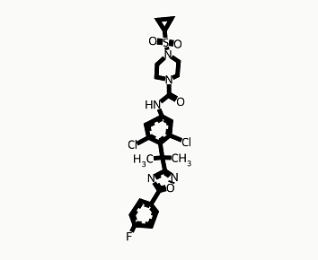 CC(C)(c1noc(-c2ccc(F)cc2)n1)c1c(Cl)cc(NC(=O)N2CCN(S(=O)(=O)C3CC3)CC2)cc1Cl